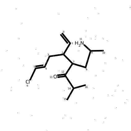 C=CC(C/C=C/Cl)C(CC(C)N)C(=O)C(C)C